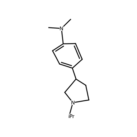 CC(C)N1CCC(c2ccc(N(C)C)cc2)C1